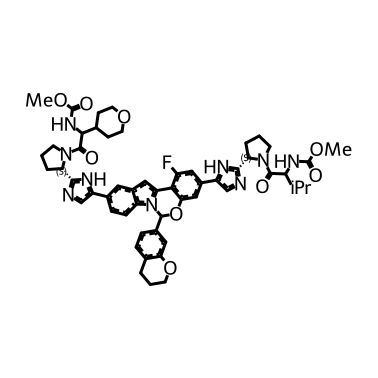 COC(=O)NC(C(=O)N1CCC[C@H]1c1ncc(-c2cc(F)c3c(c2)OC(c2ccc4c(c2)OCCC4)n2c-3cc3cc(-c4cnc([C@@H]5CCCN5C(=O)C(NC(=O)OC)C5CCOCC5)[nH]4)ccc32)[nH]1)C(C)C